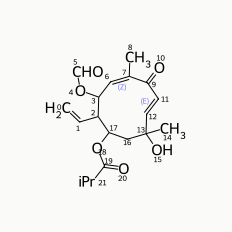 C=CC1C(OC=O)/C=C(/C)C(=O)/C=C/C(C)(O)CC1OC(=O)C(C)C